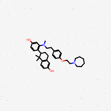 CN(CCc1ccc(OCCN2CCCCCC2)cc1)c1cc(O)ccc1C1CCc2cc(O)ccc2C1(C)C